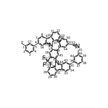 Cc1cccc(-c2ccc3c4ccccc4n(-c4cc(C(F)(F)F)c(-n5c6ccccc6c6ccc(-c7cccc(C)c7)cc65)cc4-c4cccc(C#N)c4)c3c2)c1